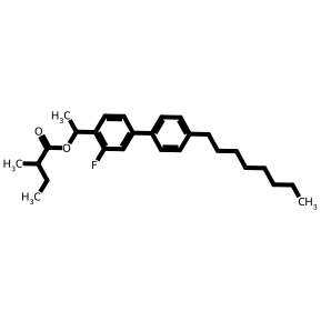 CCCCCCCCc1ccc(-c2ccc(C(C)OC(=O)C(C)CC)c(F)c2)cc1